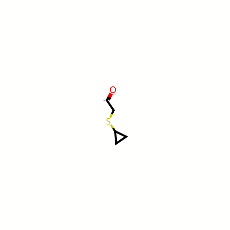 O=[C]CSC1CC1